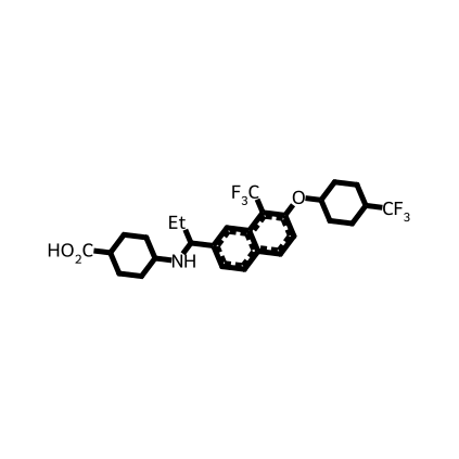 CCC(NC1CCC(C(=O)O)CC1)c1ccc2ccc(OC3CCC(C(F)(F)F)CC3)c(C(F)(F)F)c2c1